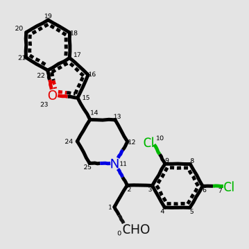 O=CCC(c1ccc(Cl)cc1Cl)N1CCC(c2cc3ccccc3o2)CC1